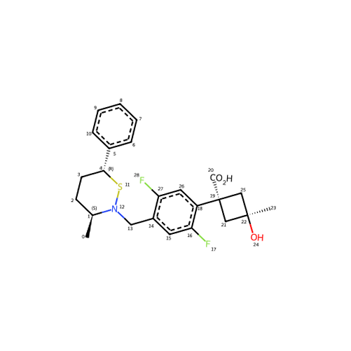 C[C@H]1CC[C@H](c2ccccc2)SN1Cc1cc(F)c([C@]2(C(=O)O)C[C@](C)(O)C2)cc1F